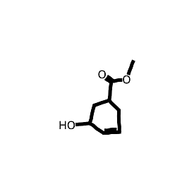 COC(=O)C1CC=CC(O)C1